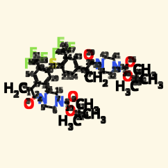 C=C(C(=O)N1CCN(C(=O)OC(C)(C)C)CC1)c1ccc(Sc2ccc(C(=C)C(=O)N3CCN(C(=O)OC(C)(C)C)CC3)cc2C(F)(F)F)c(C(F)(F)F)c1